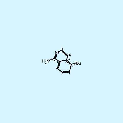 CCC(C)c1cccc2c(N)nccc12